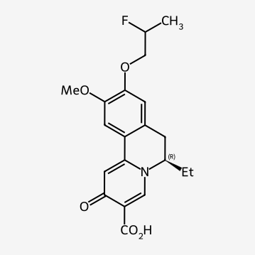 CC[C@@H]1Cc2cc(OCC(C)F)c(OC)cc2-c2cc(=O)c(C(=O)O)cn21